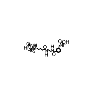 O=C(O)NCc1cccc(C(=O)NCCNC(=O)CCCC[C@@H]2SC[C@@H]3NC(=O)N[C@@H]32)c1